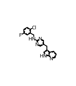 Fc1ccc(Cl)c(CNc2ncc(Cc3c[nH]c4ncccc34)cn2)c1